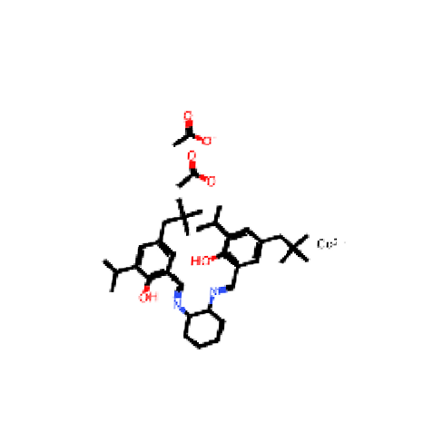 CC(=O)[O-].CC(=O)[O-].CC(C)c1cc(CC(C)(C)C)cc(C=NC2CCCCC2N=Cc2cc(CC(C)(C)C)cc(C(C)C)c2O)c1O.[Co+2]